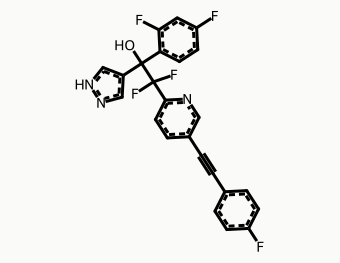 OC(c1cn[nH]c1)(c1ccc(F)cc1F)C(F)(F)c1ccc(C#Cc2ccc(F)cc2)cn1